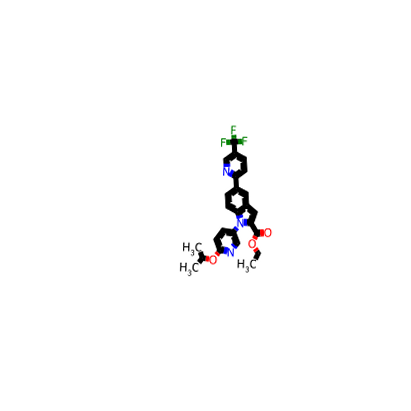 CCOC(=O)c1cc2cc(-c3ccc(C(F)(F)F)cn3)ccc2n1-c1ccc(OC(C)C)nc1